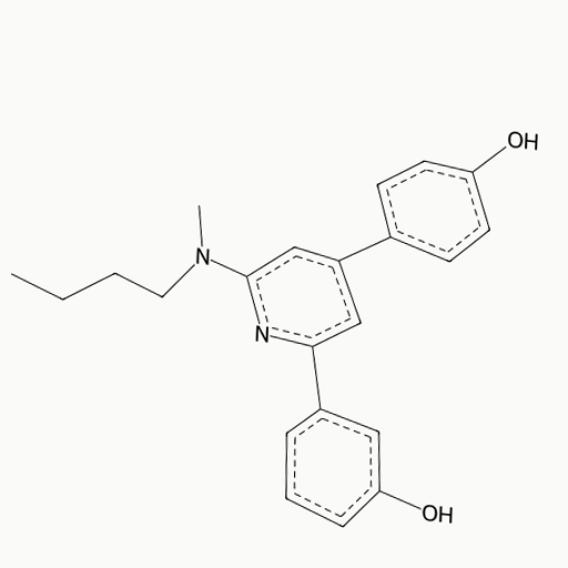 CCCCN(C)c1cc(-c2ccc(O)cc2)cc(-c2cccc(O)c2)n1